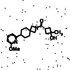 COc1cccc(C2CCC3(CC2)CN(C(=O)[C@H]2C[C@@](C)(O)C2)C3)n1